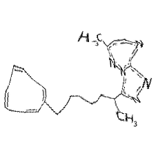 Cc1cnc2nnc(C(C)CCCCC3=C/C=C\C=C/C=C\3)n2n1